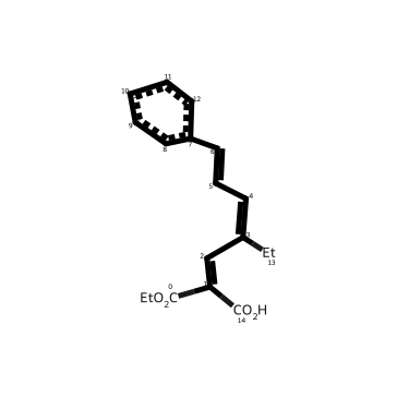 CCOC(=O)C(=CC(=CC=Cc1ccccc1)CC)C(=O)O